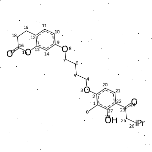 Cc1c(OCCCCOc2ccc3c(c2)OC(=O)CC3)ccc(C(=O)CC(C)C)c1O